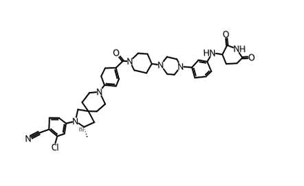 C[C@H]1CC2(CCN(C3=CC=C(C(=O)N4CCC(N5CCN(c6cccc(NC7CCC(=O)NC7=O)c6)CC5)CC4)CC3)CC2)CN1c1ccc(C#N)c(Cl)c1